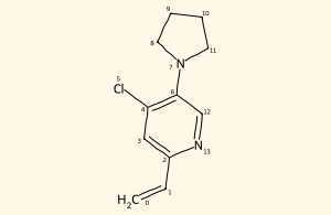 C=Cc1cc(Cl)c(N2CCCC2)cn1